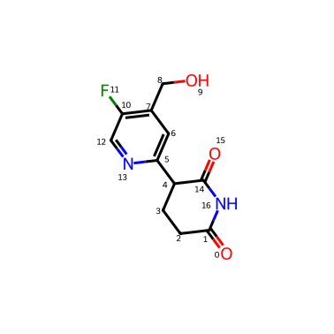 O=C1CCC(c2cc(CO)c(F)cn2)C(=O)N1